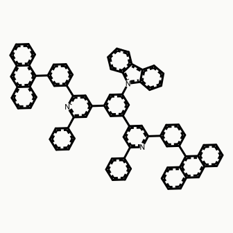 c1ccc(-c2cc(-c3cc(-c4cc(-c5ccccc5)nc(-c5cccc(-c6c7ccccc7cc7ccccc67)c5)c4)cc(-n4c5ccccc5c5ccccc54)c3)cc(-c3cccc(-c4c5ccccc5cc5ccccc45)c3)n2)cc1